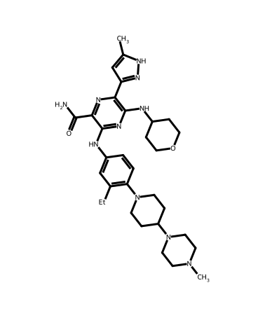 CCc1cc(Nc2nc(NC3CCOCC3)c(-c3cc(C)[nH]n3)nc2C(N)=O)ccc1N1CCC(N2CCN(C)CC2)CC1